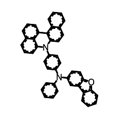 c1ccc(N(c2ccc(N3c4ccc5ccccc5c4-c4cccc5cccc3c45)cc2)c2ccc3oc4ccccc4c3c2)cc1